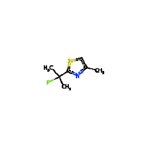 Cc1csc(C(C)(C)F)n1